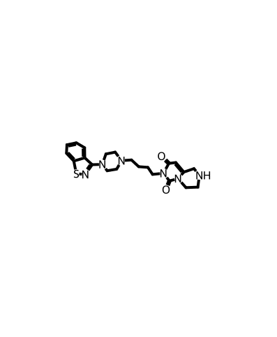 O=c1cc2n(c(=O)n1CCCCN1CCN(c3nsc4ccccc34)CC1)CCNC2